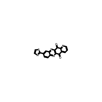 O=C1c2cccnc2C(=O)c2nc3cc(-c4nccs4)ccc3nc21